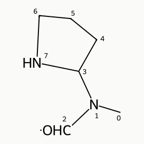 CN([C]=O)C1CCCN1